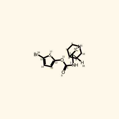 O=C(N[C@H]1CN2CCC1CC2)Oc1ccc(Br)s1